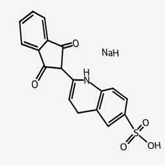 O=C1c2ccccc2C(=O)C1C1=CCc2cc(S(=O)(=O)O)ccc2N1.[NaH]